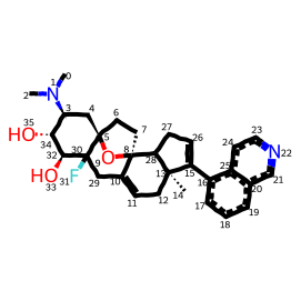 CN(C)[C@H]1C[C@@]23CC[C@@]4(O2)C(=CC[C@]2(C)C(c5cccc6cnccc56)=CCC24)CC3(F)[C@@H](O)[C@@H]1O